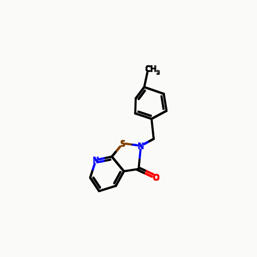 Cc1ccc(Cn2sc3ncccc3c2=O)cc1